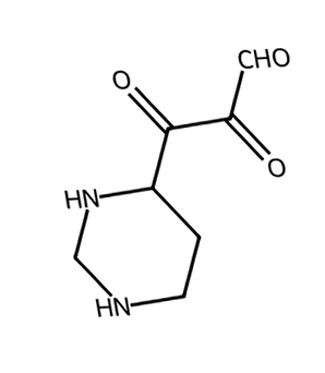 O=CC(=O)C(=O)C1CCNCN1